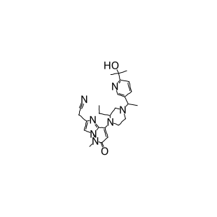 CCC1CN(C(C)c2ccc(C(C)(C)O)nc2)CCN1c1cc(=O)n(C)n2cc(CC#N)nc12